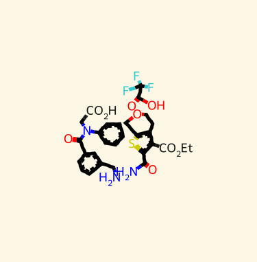 CCOC(=O)c1c(C(N)=O)sc2c1CCOC2.NCc1cccc(C(=O)N(CC(=O)O)c2ccccc2)c1.O=C(O)C(F)(F)F